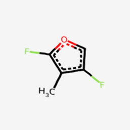 Cc1c(F)coc1F